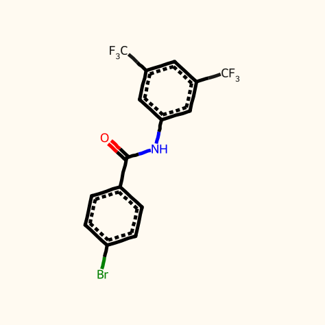 O=C(Nc1cc(C(F)(F)F)cc(C(F)(F)F)c1)c1ccc(Br)cc1